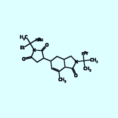 CCCCC(C)(CC)N1C(=O)CC(C2C=C(C)C3C(=O)N(C(C)(C)CCC)CC3C2)C1=O